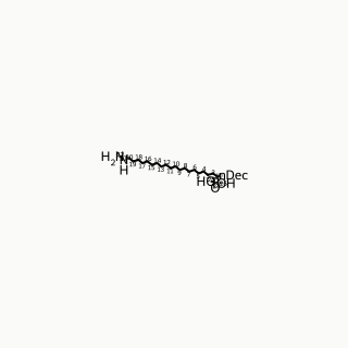 CCCCCCCCCCC(CCCCCCCCCCCCCCCCCCCNN)P(=O)(O)O